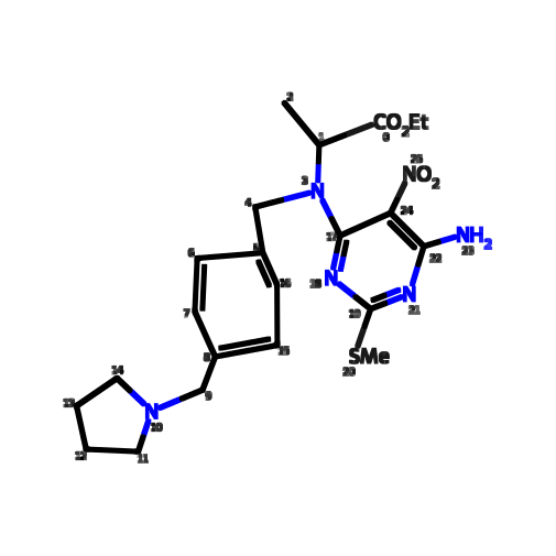 CCOC(=O)C(C)N(Cc1ccc(CN2CCCC2)cc1)c1nc(SC)nc(N)c1[N+](=O)[O-]